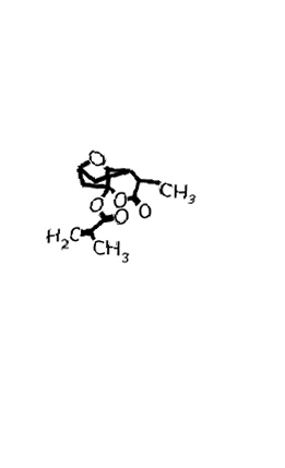 C=C(C)C(=O)OC12CC3CC(C(CC)C(=O)O1)C2O3